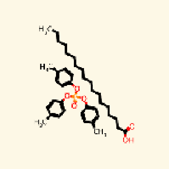 CCCCCCCCCCCCCCCCCC(=O)O.Cc1ccc(OP(=O)(Oc2ccc(C)cc2)Oc2ccc(C)cc2)cc1